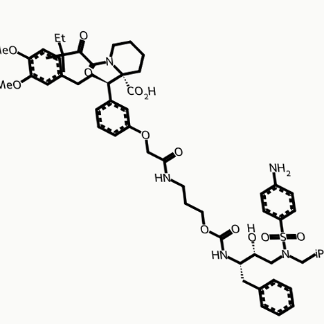 CCC(C)(C)C(=O)C(=O)N1CCCC[C@@]1(C(=O)O)[C@H](CCc1ccc(OC)c(OC)c1)c1cccc(OCC(=O)NCCCOC(=O)N[C@@H](Cc2ccccc2)[C@H](O)CN(CC(C)C)S(=O)(=O)c2ccc(N)cc2)c1